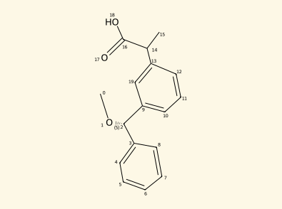 CO[C@@H](c1ccccc1)c1cccc(C(C)C(=O)O)c1